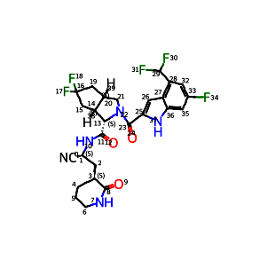 N#C[C@H](C[C@@H]1CCCNC1=O)NC(=O)[C@@H]1[C@@H]2CC(F)(F)C[C@@H]2CN1C(=O)c1cc2c(C(F)F)cc(F)cc2[nH]1